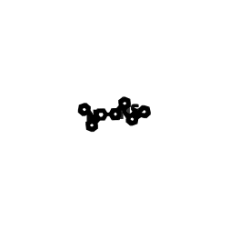 C1=CC(c2ccc3c(c2)c2ccccc2n3-c2cccc3c2sc2ccccc23)Cc2c1n(-c1ccccc1)c1ccccc21